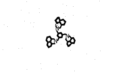 c1cc2c3c(cccc3c#1)CN(Cc1cc(CN3Cc4cccc5cccc(c45)C3)cc(CN3Cc4cccc5cccc(c45)C3)c1)C2